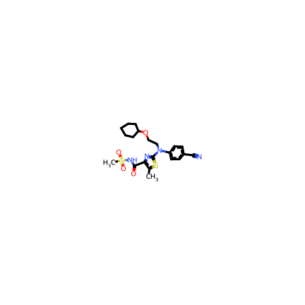 Cc1sc(N(CCOC2CCCCC2)c2ccc(C#N)cc2)nc1C(=O)NS(C)(=O)=O